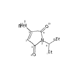 CCCCCCC1=CC(=O)N(C(CC)CC)C1=O